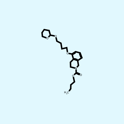 CCCCOC(=O)N1CCc2c(cccc2OCCCCOC2CCCCO2)C1